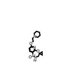 [O-][S+]1NCC2(CC2)Oc2nc(OCCN3CCCCC3)ccc21